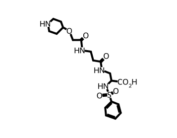 O=C(CCNC(=O)COC1CCNCC1)NCC(NS(=O)(=O)c1ccccc1)C(=O)O